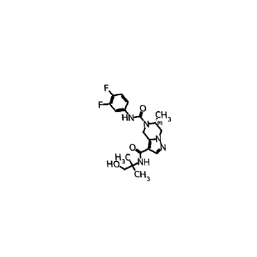 C[C@@H]1Cn2ncc(C(=O)NC(C)(C)CO)c2CN1C(=O)Nc1ccc(F)c(F)c1